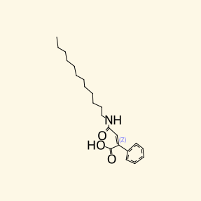 CCCCCCCCCCCCNC(=O)/C=C(\C(=O)O)c1ccccc1